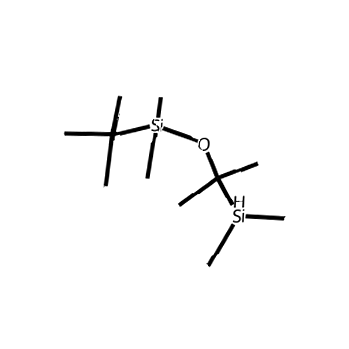 C[SiH](C)C(C)(C)O[Si](C)(C)C(C)(C)C